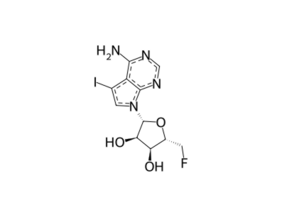 Nc1ncnc2c1c(I)cn2[C@@H]1O[C@H](CF)[C@@H](O)[C@H]1O